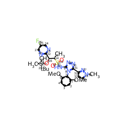 COc1cccc(OC)c1-n1c(NS(=O)(=O)[C@H](C)[C@@H](O[Si](C)(C)C(C)(C)C)c2ncc(F)cn2)nnc1-c1ccn(C)n1